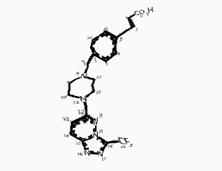 O=C(O)/C=C/c1ccc(CN2CCN(c3ccc4nnc(C(F)(F)F)n4n3)CC2)cc1